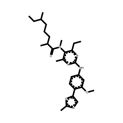 CCc1nc(Nc2ccc(-c3cnc(C)o3)c(OC)c2)nc(C)c1N(C)C(=O)C(C)CCCC(C)CC